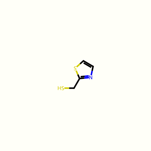 SCc1nccs1